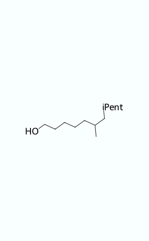 CCCC(C)CC(C)CCCCCO